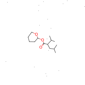 CC(C)CC(C(=O)OC1CCCCO1)C(C)C